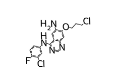 Nc1cc2c(Nc3ccc(F)c(Cl)c3)ncnc2cc1OCCCCl